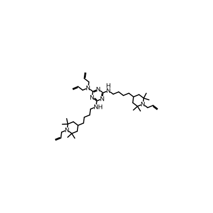 C=CCN(CC=C)c1nc(NCCCCC2CC(C)(C)N(CC=C)C(C)(C)C2)nc(NCCCCC2CC(C)(C)N(CC=C)C(C)(C)C2)n1